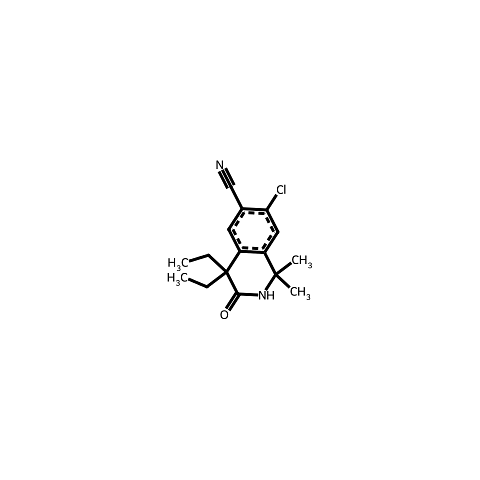 CCC1(CC)C(=O)NC(C)(C)c2cc(Cl)c(C#N)cc21